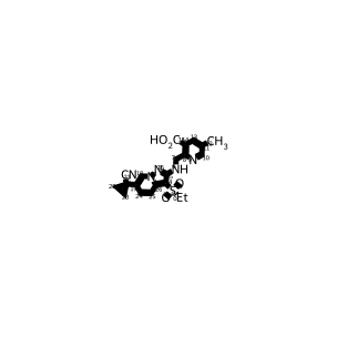 CCS(=O)(=O)c1c(NCc2ncc(C)cc2C(=O)O)nn2cc(C3(C#N)CC3)ccc12